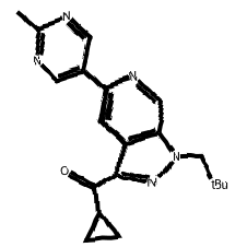 Cc1ncc(-c2cc3c(C(=O)C4CC4)nn(CC(C)(C)C)c3cn2)cn1